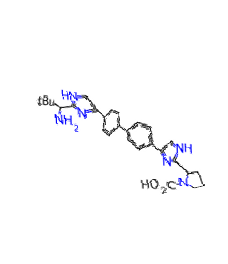 CC(C)(C)[C@H](N)c1nc(-c2ccc(-c3ccc(-c4c[nH]c(C5CCCN5C(=O)O)n4)cc3)cc2)c[nH]1